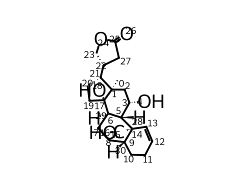 C[C@]12C[C@H](O)[C@H]3[C@@H](CC[C@H]4CCC=C[C@@]43CO)[C@@]1(O)CC[C@@H]2[C@@H]1COC(=O)C1